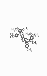 COc1ccc(CN(Cc2ccnc3c2cc(-c2cn(C)c4cc(OC)c(OC)cc24)n3S(=O)(=O)c2ccc(C)cc2)C(=O)Nc2ccc(OC(F)(F)F)cc2)c(OC)c1